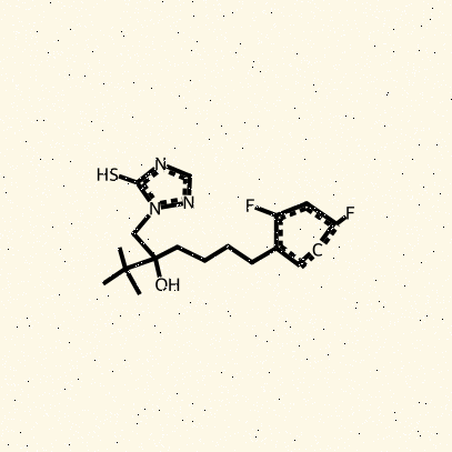 CC(C)(C)C(O)(CCCCc1ccc(F)cc1F)Cn1ncnc1S